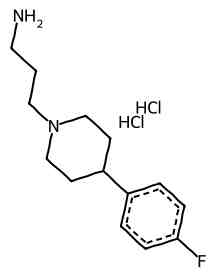 Cl.Cl.NCCCN1CCC(c2ccc(F)cc2)CC1